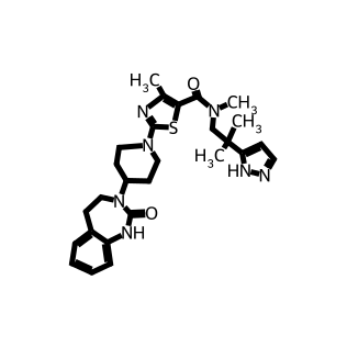 Cc1nc(N2CCC(N3CCc4ccccc4NC3=O)CC2)sc1C(=O)N(C)CC(C)(C)c1ccn[nH]1